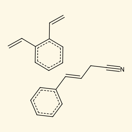 C=Cc1ccccc1C=C.N#CCC=Cc1ccccc1